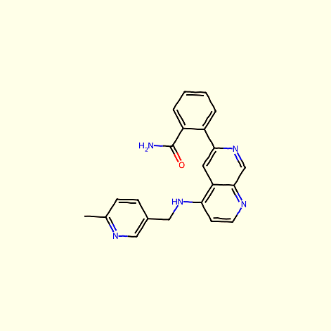 Cc1ccc(CNc2ccnc3cnc(-c4ccccc4C(N)=O)cc23)cn1